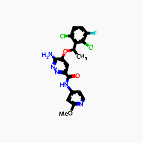 COc1cc(NC(=O)c2cc(OC(C)c3c(Cl)ccc(F)c3Cl)c(N)nn2)ccn1